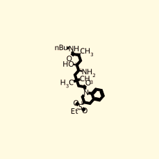 CCCCNC(=O)[C@H](C)C[C@H](O)[C@@H](N)CC(C)(C)CC(=O)N1C[C@H](S(=O)(=O)CC)Cc2ccccc21